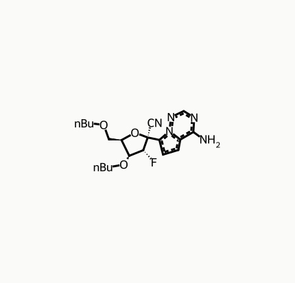 CCCCOC[C@H]1O[C@@](C#N)(c2ccc3c(N)ncnn23)[C@H](F)[C@@H]1OCCCC